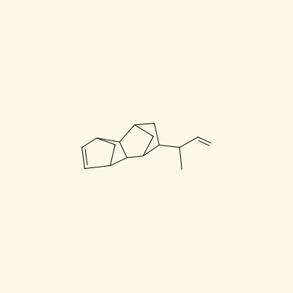 C=CC(C)C1CC2CC1C1C3C=CC(C3)C21